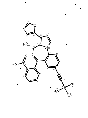 C[C@H]1N=C(c2ccccc2[N+](=O)[O-])c2cc(C#C[Si](C)(C)C)ccc2-n2cnc(-c3cnco3)c21